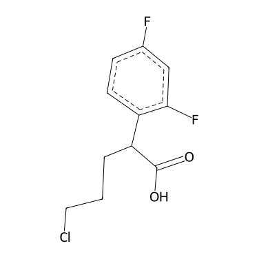 O=C(O)C(CCCCl)c1ccc(F)cc1F